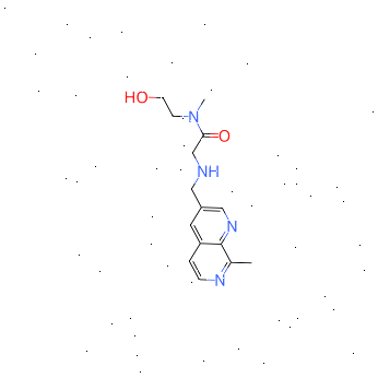 Cc1nccc2cc(CNCC(=O)N(C)CCO)cnc12